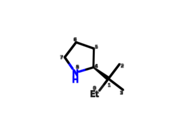 CCC(C)(C)[C@@H]1CCCN1